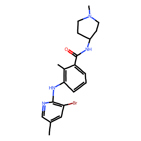 Cc1cnc(Nc2cccc(C(=O)NC3CCN(C)CC3)c2C)c(Br)c1